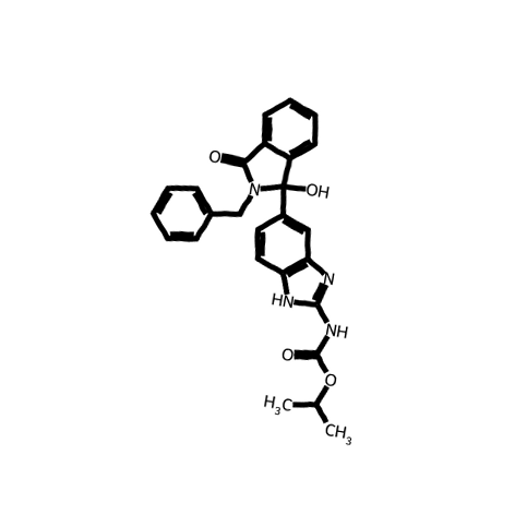 CC(C)OC(=O)Nc1nc2cc(C3(O)c4ccccc4C(=O)N3Cc3ccccc3)ccc2[nH]1